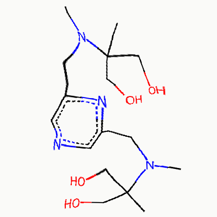 CN(Cc1cncc(CN(C)C(C)(CO)CO)n1)C(C)(CO)CO